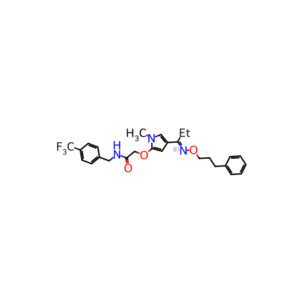 CC/C(=N\OCCCc1ccccc1)c1cc(OCC(=O)NCc2ccc(C(F)(F)F)cc2)n(C)c1